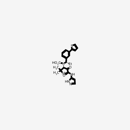 CCCC(C)(C)[C@@H](C(=O)C(=O)Nc1ccn[nH]1)N(C(=O)O)[C@@H](CC)c1cccc(-c2cccs2)c1